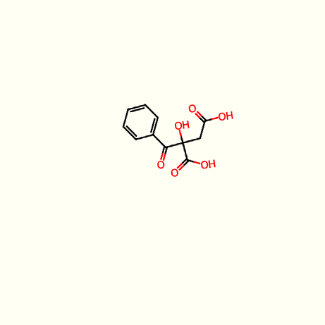 O=C(O)CC(O)(C(=O)O)C(=O)c1ccccc1